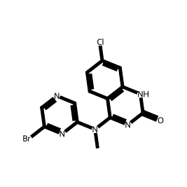 CN(c1cncc(Br)n1)c1nc(=O)[nH]c2cc(Cl)ccc12